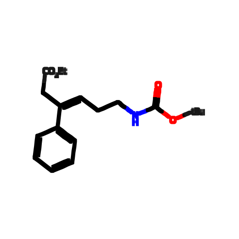 CCOC(=O)C/C(=C/CCNC(=O)OC(C)(C)C)c1ccccc1